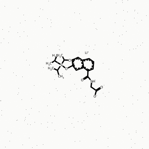 CC(C)[Si](Oc1ccc2cccc(C(=O)NCC(=O)[O-])c2c1)(C(C)C)C(C)C.[Li+]